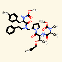 C#CCO[C@H](C)[C@H](NC(=O)[C@H](C)N(C)C(=O)OC(C)(C)C)C(=O)N1CCC[C@H]1CN(CCc1ccccc1)C(=O)[C@@H](Cc1ccc(OC)cc1)NC(=O)OC(C)(C)C